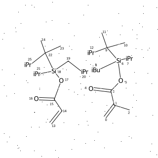 C=C(C)C(=O)O[Si](C(C)C)(C(C)CC)C(C)(C)C(C)C.C=CC(=O)O[Si](CC(C)C)(C(C)C)C(C)(C)C(C)C